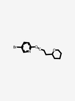 Brc1ccc(OCCCC2CCCCO2)nc1